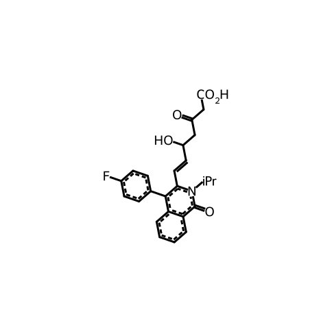 CC(C)n1c(C=CC(O)CC(=O)CC(=O)O)c(-c2ccc(F)cc2)c2ccccc2c1=O